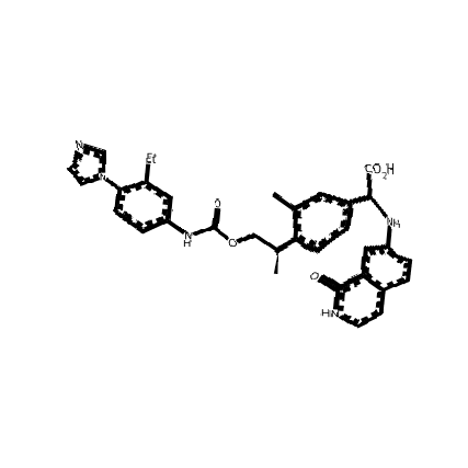 CCc1cc(NC(=O)OC[C@H](C)c2ccc(C(Nc3ccc4cc[nH]c(=O)c4c3)C(=O)O)cc2C)ccc1-n1ccnc1